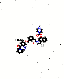 CC[C@@H]1CN(C(=O)Cc2cccc(COc3cc4c(cc3OC)C(=O)N3CCCC[C@H]3C=N4)c2)c2cc(OC(=O)N3CCN(C)CC3)c3ccccc3c21